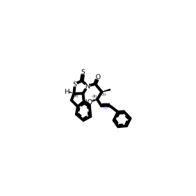 C[C@H](C(=O)N1C(=S)S[C@@H]2Cc3ccccc3C21)[C@H](O)/C=C/c1ccccc1